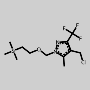 Cc1c(CCl)c(C(F)(F)F)nn1COCC[Si](C)(C)C